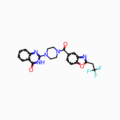 O=C(c1ccc2oc(CC(F)(F)F)nc2c1)N1CCN(c2nc3ccccc3c(=O)[nH]2)CC1